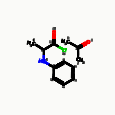 CC(C)=O.CC(Nc1ccccc1)C(=O)Cl